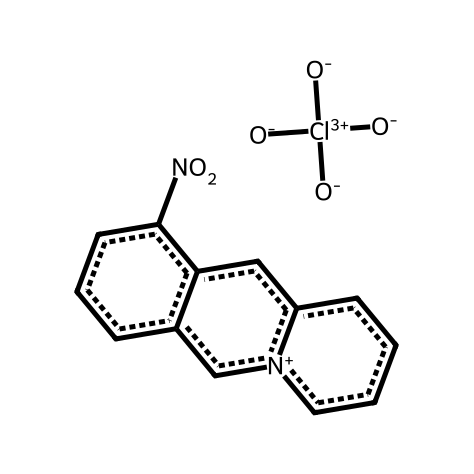 O=[N+]([O-])c1cccc2c[n+]3ccccc3cc12.[O-][Cl+3]([O-])([O-])[O-]